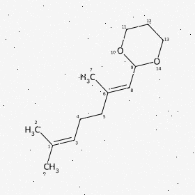 CC(C)=CCC/C(C)=C/C1OCCCO1